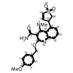 CNc1c(C(N)=O)c(OCc2ccc(OC)cc2)nc2cccc(C3C=CS(=O)(=O)C3)c12